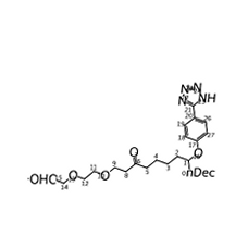 CCCCCCCCCCC(CCCCC(=O)CCOCCOC[C]=O)Oc1ccc(-c2nnn[nH]2)cc1